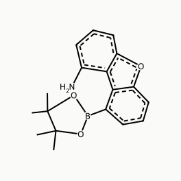 CC1(C)OB(c2cccc3oc4cccc(N)c4c23)OC1(C)C